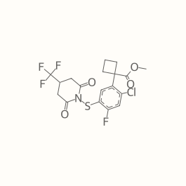 COC(=O)C1(c2cc(SN3C(=O)CC(C(F)(F)F)CC3=O)c(F)cc2Cl)CCC1